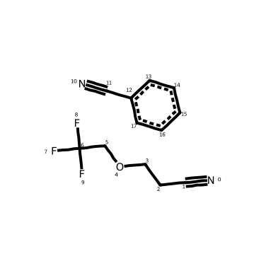 N#CCCOCC(F)(F)F.N#Cc1ccccc1